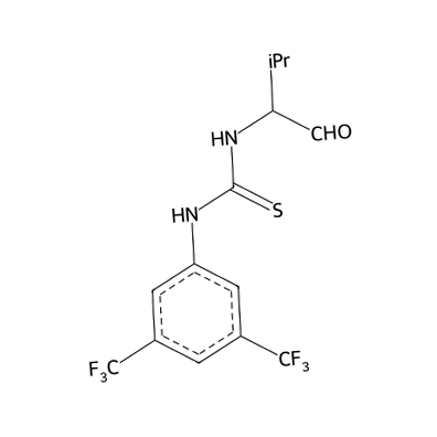 CC(C)C(C=O)NC(=S)Nc1cc(C(F)(F)F)cc(C(F)(F)F)c1